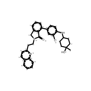 CC1(O)CCC(Nc2ccc(-c3cccc4c3C(=O)N(CCc3ccc5ccccc5n3)C4)cc2Cl)CC1